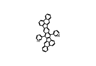 c1cncc(-c2c3cc4c(cc3c(-c3cccnc3)c3c5cc6ccccc6c6cccc(c23)c65)c2cccc3c5ccccc5cc4c32)c1